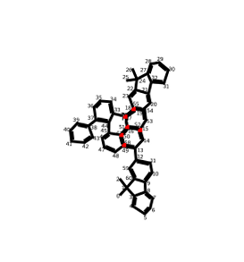 CC1(C)c2ccccc2-c2ccc(-c3ccc(N(c4ccc5c(c4)C(C)(C)c4ccccc4-5)c4cccc(-c5ccccc5)c4-c4ccccc4-c4ccccc4)cc3)cc21